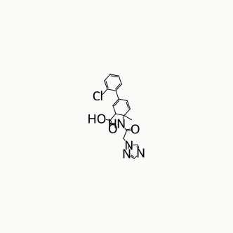 CC1(NC(=O)Cn2cncn2)C=CC(c2ccccc2Cl)=CC1C(=O)O